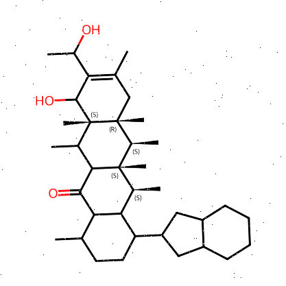 CC1=C(C(C)O)C(O)[C@@]2(C)C(C)C3C(=O)C4C(C)CCC(C5CC6CCCCC6C5)C4[C@H](C)[C@@]3(C)[C@H](C)[C@@]2(C)C1